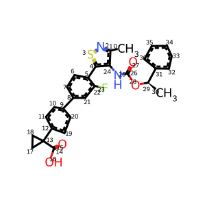 Cc1nsc(-c2ccc(-c3ccc(C4(C(=O)O)CC4)cc3)cc2F)c1NC(=O)O[C@H](C)c1ccccc1